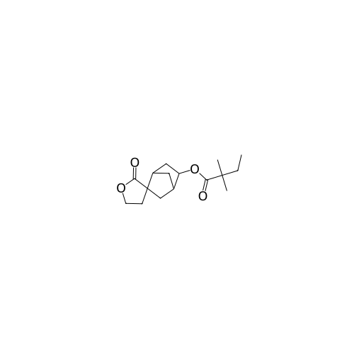 CCC(C)(C)C(=O)OC1CC2CC1CC21CCOC1=O